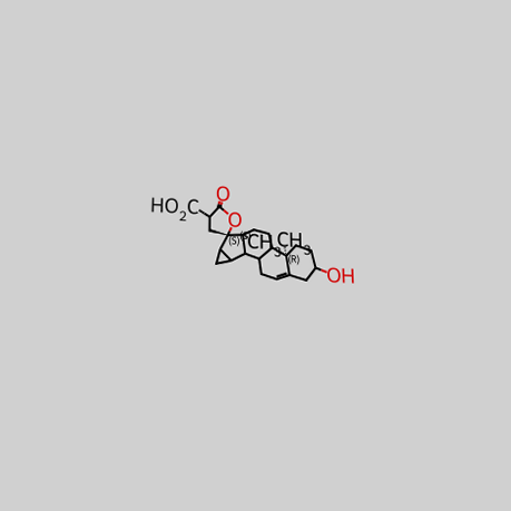 C[C@]12CCC(O)CC1=CCC1C2CC[C@@]2(C)C1C1CC1[C@@]21CC(C(=O)O)C(=O)O1